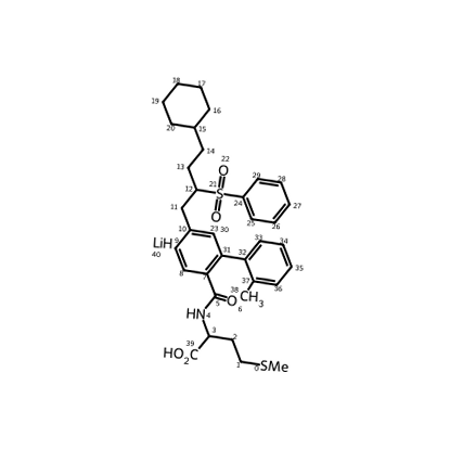 CSCCC(NC(=O)c1ccc(CC(CCC2CCCCC2)S(=O)(=O)c2ccccc2)cc1-c1ccccc1C)C(=O)O.[LiH]